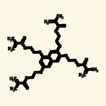 C=C(C)C(=O)OCCOc1cc(OCCOC(=O)C(=C)C)c2cc(OCCOC(=O)C(=C)C)c(OCCOC(=O)C(=C)C)cc2c1